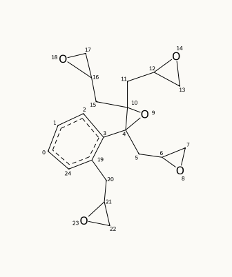 c1ccc(C2(CC3CO3)OC2(CC2CO2)CC2CO2)c(CC2CO2)c1